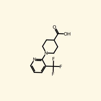 O=C(O)C1CCN(c2ncccc2C(F)(F)F)CC1